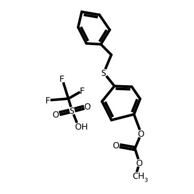 COC(=O)Oc1ccc(SCc2ccccc2)cc1.O=S(=O)(O)C(F)(F)F